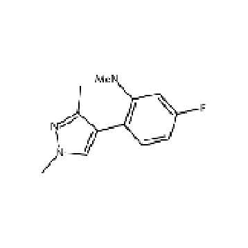 CNc1cc(F)ccc1-c1cn(C)nc1C